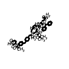 Cn1c(=O)n(C2CCC(=O)NC2=O)c2ccc(CC3CCC(CC(=O)N4CC[C@H]5CC[C@@H](C(=O)N[C@@H](CCC(N)=O)C(=O)NC(c6ccccc6)c6ccccc6)N5C(=O)[C@@H](NC(=O)OC(C)(C)C)C4)CC3)cc21